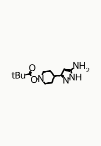 CC(C)(C)C(=O)ON1CCC(c2cc(N)[nH]n2)CC1